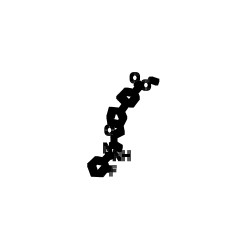 CCOC(=O)c1ccc(-c2ccc3oc(-c4c[nH]c(-c5ccccc5F)n4)cc3c2)cc1